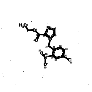 CCOC(=O)c1nccn1Cc1ccc(Cl)cc1[N+](=O)[O-]